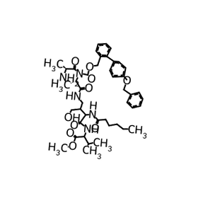 CCCCCC(=O)NC(C(=O)NC(C(=O)OC)C(C)C)C(CO)CNC(=O)[C@H](C)N(C(=O)OCc1ccccc1-c1ccc(OCc2ccccc2)cc1)C(=O)[C@H](C)N